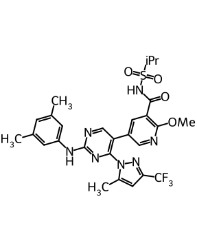 COc1ncc(-c2cnc(Nc3cc(C)cc(C)c3)nc2-n2nc(C(F)(F)F)cc2C)cc1C(=O)NS(=O)(=O)C(C)C